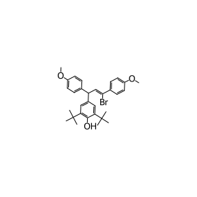 COc1ccc(C(Br)=CC(c2ccc(OC)cc2)c2cc(C(C)(C)C)c(O)c(C(C)(C)C)c2)cc1